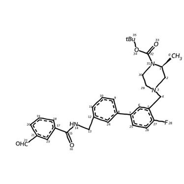 C[C@H]1CN(Cc2cc(-c3cccc(CNC(=O)c4cccc(C=O)c4)c3)ccc2F)CCN1C(=O)OC(C)(C)C